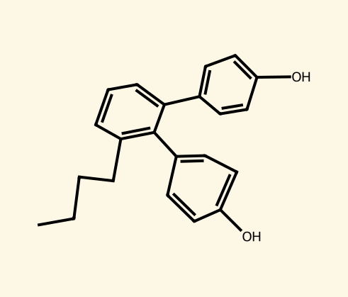 CCCCc1cccc(-c2ccc(O)cc2)c1-c1ccc(O)cc1